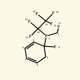 FCP(C1(F)C=CC=CC1)C(F)(F)C(F)(F)F